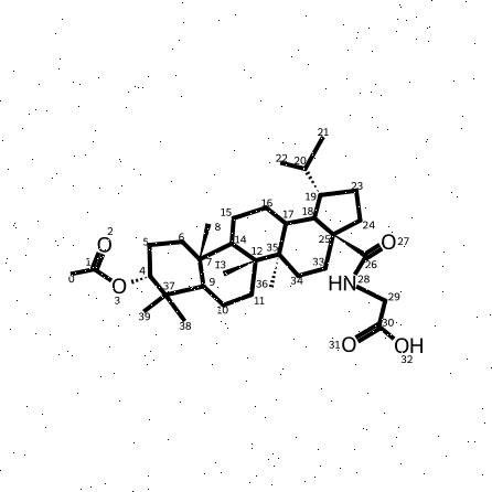 CC(=O)O[C@@H]1CC[C@@]2(C)C(CC[C@]3(C)C2CCC2C4[C@H](C(C)C)CC[C@]4(C(=O)NCC(=O)O)CC[C@]23C)C1(C)C